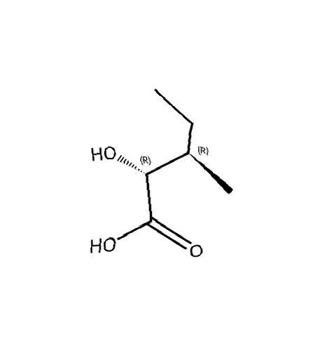 CC[C@@H](C)[C@@H](O)C(=O)O